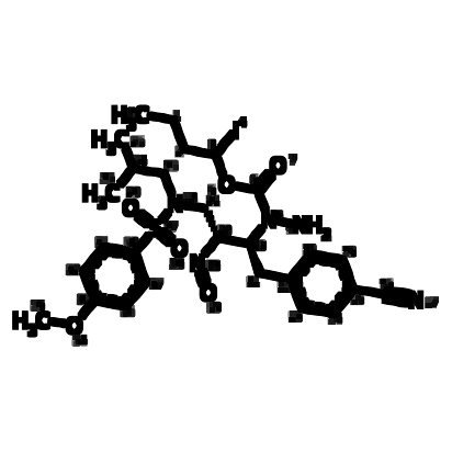 CCCC(I)OC(=O)N(N)[C@@H](Cc1ccc(C#N)cc1)[C@@H](CN(CC(C)C)S(=O)(=O)c1ccc(OC)cc1)N=O